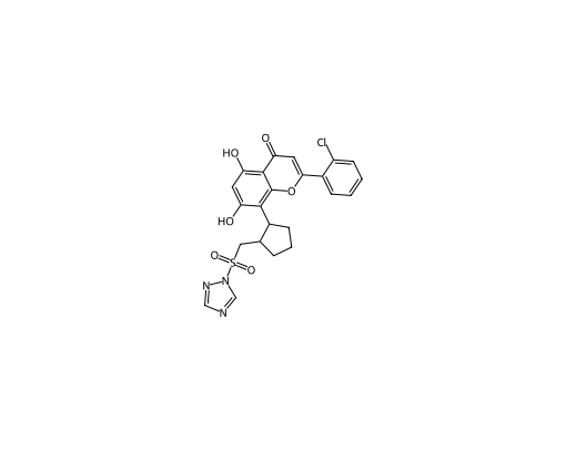 O=c1cc(-c2ccccc2Cl)oc2c(C3CCCC3CS(=O)(=O)n3cncn3)c(O)cc(O)c12